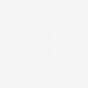 Nc1nc(NCCO)c2c(cc(-c3ccccc3C(F)(F)F)c3c2ccn3CCO)n1.O=C(O)C(F)(F)F